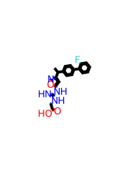 CC(c1ccc(-c2ccccc2F)cc1)c1cc(NC(=N)NCC(=O)O)on1